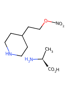 C[C@H](N)C(=O)O.O=[N+]([O-])OCCC1CCNCC1